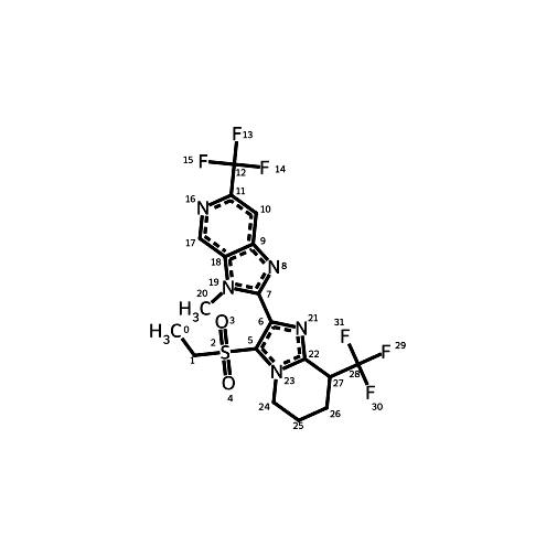 CCS(=O)(=O)c1c(-c2nc3cc(C(F)(F)F)ncc3n2C)nc2n1CCCC2C(F)(F)F